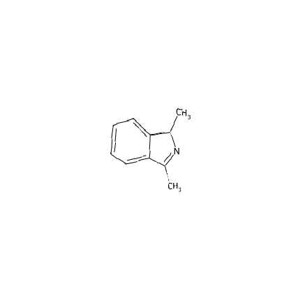 CC1=NC(C)c2ccccc21